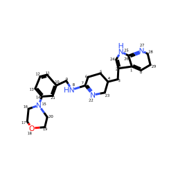 C1=c2c(CC3CCC(NCc4cccc(N5CCOCC5)c4)=NC3)c[nH]c2=NCC1